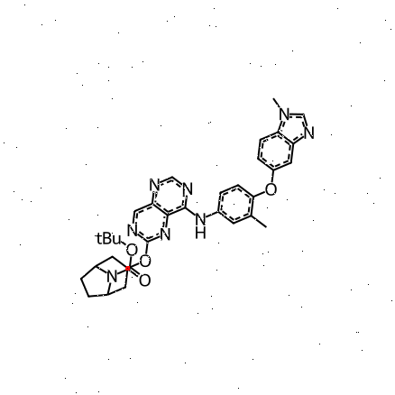 Cc1cc(Nc2ncnc3cnc(OC4CC5CCC(C4)N5C(=O)OC(C)(C)C)nc23)ccc1Oc1ccc2c(c1)ncn2C